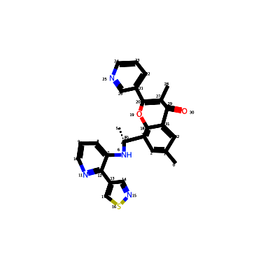 Cc1cc([C@@H](C)Nc2cccnc2-c2cnsc2)c2oc(-c3cccnc3)c(C)c(=O)c2c1